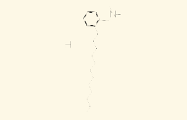 CCCCCCCCCCCCc1ccccc1CN(C)C.I